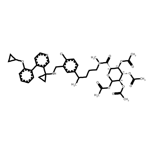 CC(=O)OC1O[C@H](C(=O)N(C)CCCC(C)c2ccc(Cl)c(CNC3(c4cnccc4-c4ccccc4OC4CC4)CC3)c2)[C@@H](OC(C)=O)[C@H](OC(C)=O)[C@H]1OC(C)=O